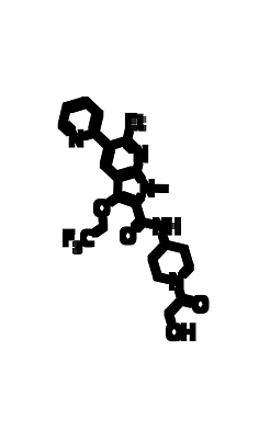 CCc1nc2c(cc1-c1ccccn1)c(OCC(F)(F)F)c(C(=O)NC1CCN(C(=O)CO)CC1)n2C